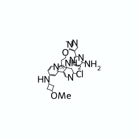 COC1CC(Nc2ccnc(C3=CN=C(Cl)CC3(N)[C@@H](C)CCOc3c(-c4nccc(N)n4)cnn3C)c2)C1